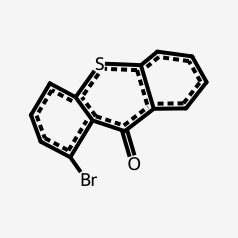 O=c1c2ccccc2sc2cccc(Br)c12